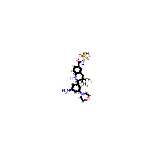 CC1(C)Cc2cc(C(=O)NS(C)(=O)=O)ccc2NC1c1cc(N)cc(N2CCOCC2)c1